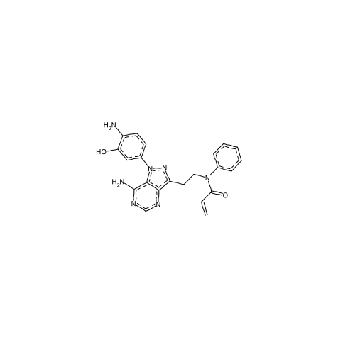 C=CC(=O)N(CCc1nn(-c2ccc(N)c(O)c2)c2c(N)ncnc12)c1ccccc1